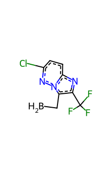 BCc1c(C(F)(F)F)nc2ccc(Cl)nn12